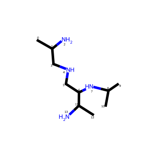 CC(N)CNCC(NC(C)C)C(C)N